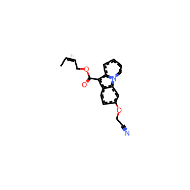 C/C=C\COC(=O)c1c2ccc(OCC#N)cc2n2ccccc12